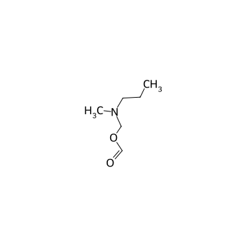 CCCN(C)COC=O